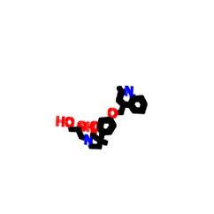 Cc1cc(COc2ccc(C3(C)CCN(CC(O)CO)C3=O)cc2)c2ccccc2n1